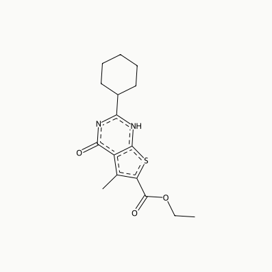 CCOC(=O)c1sc2[nH]c(C3CCCCC3)nc(=O)c2c1C